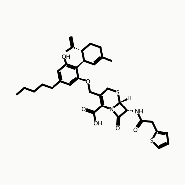 C=C(C)[C@@H]1CCC(C)=C[C@H]1c1c(O)cc(CCCCC)cc1OCC1=C(C(=O)O)N2C(=O)[C@@H](NC(=O)Cc3cccs3)[C@H]2SC1